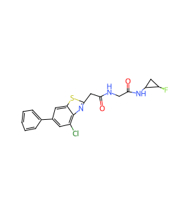 O=C(Cc1nc2c(Cl)cc(-c3ccccc3)cc2s1)NCC(=O)NC1C[C@H]1F